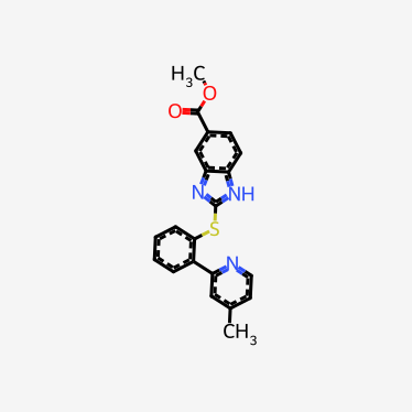 COC(=O)c1ccc2[nH]c(Sc3ccccc3-c3cc(C)ccn3)nc2c1